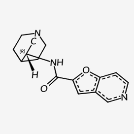 O=C(N[C@H]1CN2CCC1CC2)c1cc2cnccc2o1